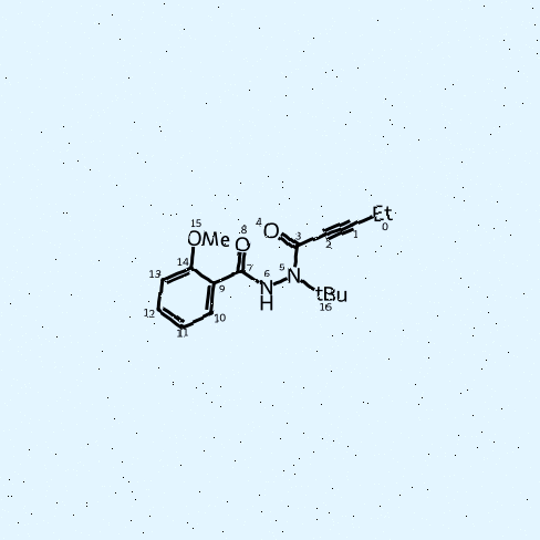 CCC#CC(=O)N(NC(=O)c1ccccc1OC)C(C)(C)C